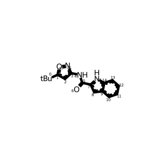 CC(C)(C)c1cc(NC(=O)c2cc3ccccc3[nH]2)no1